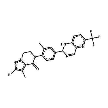 Cc1cc(C2N=Cc3nc(C(F)(F)F)ccc3N2)ccc1N1CCn2nc(Br)c(C)c2C1=O